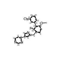 COc1ccc(Cn2cc(-c3ccncn3)cn2)c(F)c1-c1cccc(Cl)c1